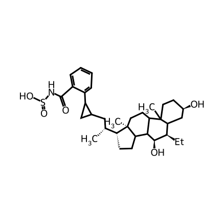 CC[C@@H]1C2C[C@H](O)CCC2(C)C2CC[C@@]3(C)C(CC[C@@H]3[C@H](C)CC3CC3c3ccccc3C(=O)NS(=O)O)C2[C@@H]1O